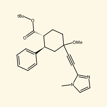 COC1(C#Cc2nccn2C)CC[C@@H](C(=O)OC(C)(C)C)[C@H](c2ccccc2)C1